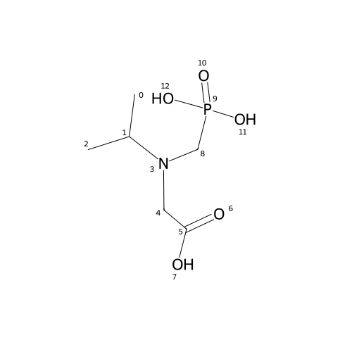 CC(C)N(CC(=O)O)CP(=O)(O)O